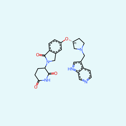 O=C1CCC(N2Cc3cc(O[C@@H]4CCN(Cc5c[nH]c6cnccc56)C4)ccc3C2=O)C(=O)N1